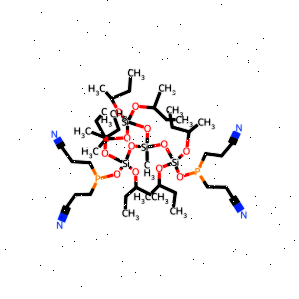 CCC(C)O[Si](OC(C)CC)(OC(C)CC)O[Si](C)(O[Si](OC(C)CC)(OC(C)CC)OP(CCC#N)CCC#N)O[Si](OC(C)CC)(OC(C)CC)OP(CCC#N)CCC#N